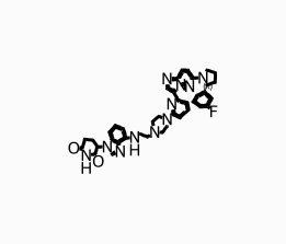 O=C1CCC(n2cnc3c(NCCN4CCN(c5cccc(-c6cnc7ccc(N8CCC[C@@H]8c8cccc(F)c8)nn67)n5)CC4)cccc32)C(=O)N1